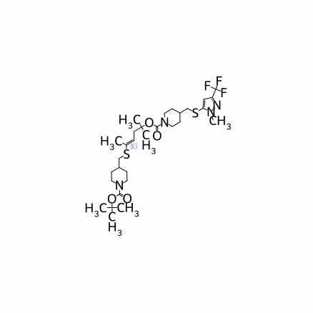 C/C(=C\CC(C)(C)OC(=O)N1CCC(CSc2cc(C(F)(F)F)nn2C)CC1)SCC1CCN(C(=O)OC(C)(C)C)CC1